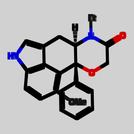 CCN1C(=O)CO[C@]2(c3ccccc3)c3c(OC)ccc4[nH]cc(c34)C[C@@H]12